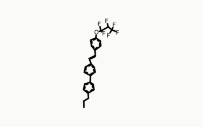 CCCc1ccc(-c2ccc(/C=C/c3ccc(OC(F)(F)C(F)C(F)(F)F)cc3)cc2)cc1